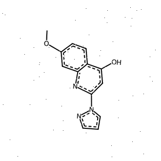 COc1ccc2c(O)cc(-n3cccn3)nc2c1